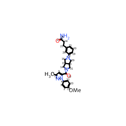 COc1ccc(-n2nc(C)cc2C(=O)N2CC3CN(c4cccc(CCC(N)=O)c4)CC3C2)cc1